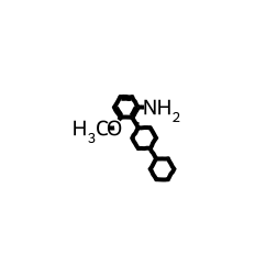 COc1cccc(N)c1[C]1CCC(C2CCCCC2)CC1